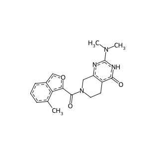 Cc1cccc2coc(C(=O)N3CCc4c(nc(N(C)C)[nH]c4=O)C3)c12